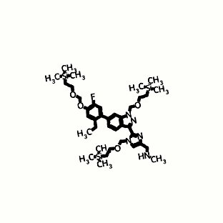 CCc1cc(OCOCC[Si](C)(C)C)c(F)cc1-c1ccc2c(-c3nc(CNC)cn3COCC[Si](C)(C)C)nn(COCC[Si](C)(C)C)c2c1